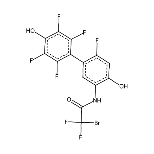 O=C(Nc1cc(-c2c(F)c(F)c(O)c(F)c2F)c(F)cc1O)C(F)(F)Br